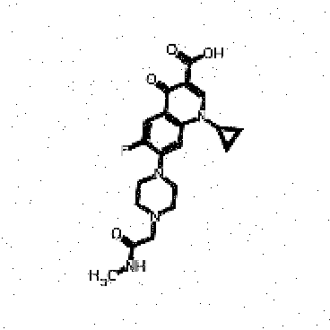 CNC(=O)CN1CCN(c2cc3c(cc2F)c(=O)c(C(=O)O)cn3C2CC2)CC1